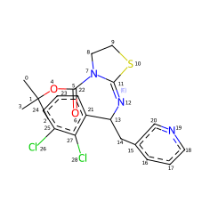 CC(C)(C)OC(=O)N1CCS/C1=N/C(Cc1cccnc1)c1cccc(Cl)c1Cl